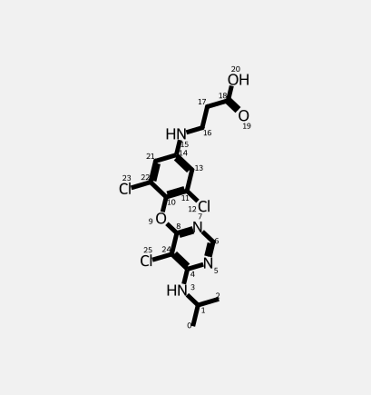 CC(C)Nc1ncnc(Oc2c(Cl)cc(NCCC(=O)O)cc2Cl)c1Cl